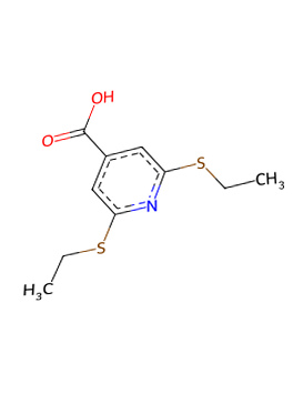 CCSc1cc(C(=O)O)cc(SCC)n1